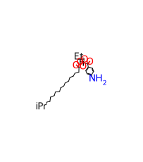 [CH2]C[O][Ti](=[O])([O]C(=O)CCCCCCCCCCCCCCC(C)C)[C](=O)c1ccc(N)cc1